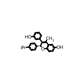 CC1=C(c2cccc(O)c2)[C@H](c2ccc(C(C)C)cc2)Oc2ccc(O)cc21